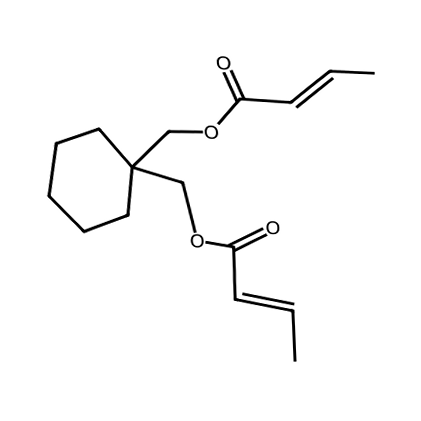 CC=CC(=O)OCC1(COC(=O)C=CC)CCCCC1